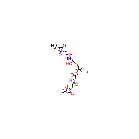 C=C1CC(=O)N(CCC(=O)NCC(O)COCC(C)OCC(O)CNC(=O)CCN2C(=O)CC(=C)C2=O)C1=O